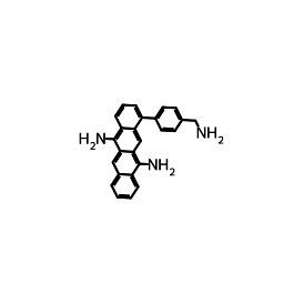 NCc1ccc(-c2cccc3c(N)c4cc5ccccc5c(N)c4cc23)cc1